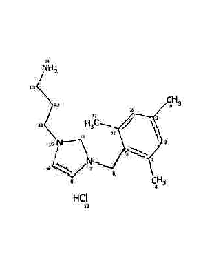 Cc1cc(C)c(CN2C=CN(CCCN)C2)c(C)c1.Cl